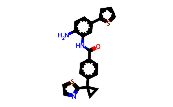 Nc1ccc(-c2cccs2)cc1NC(=O)c1ccc(C2(c3nccs3)CC2)cc1